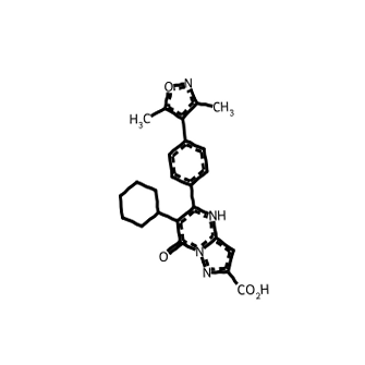 Cc1noc(C)c1-c1ccc(-c2[nH]c3cc(C(=O)O)nn3c(=O)c2C2CCCCC2)cc1